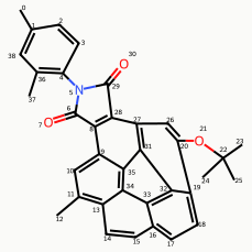 Cc1ccc(-n2c(=O)c3c4cc(C)c5ccc6ccc7c(OC(C)(C)C)cc(c3c2=O)c2c7c6c5c42)c(C)c1